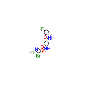 CC(NC(=O)C1CCC(NS(=O)(=O)c2cnc(Cl)c(Br)c2)CC1)c1ccc(F)cc1